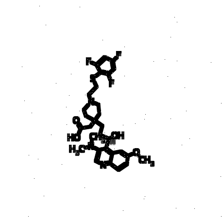 COc1ccc2ncc(N(C)C)c([C@H](O)CCC3(CC(=O)O)CCN(CCSc4c(F)cc(F)cc4F)CC3)c2c1